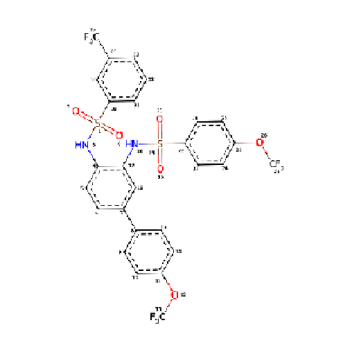 O=S(=O)(Nc1ccc(-c2ccc(OC(F)(F)F)cc2)cc1NS(=O)(=O)c1ccc(OC(F)(F)F)cc1)c1cccc(C(F)(F)F)c1